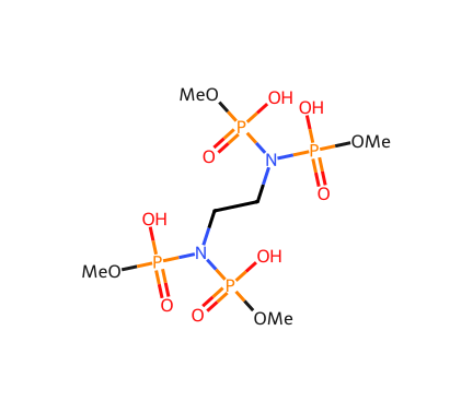 COP(=O)(O)N(CCN(P(=O)(O)OC)P(=O)(O)OC)P(=O)(O)OC